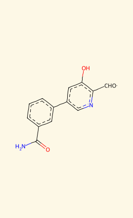 NC(=O)c1cccc(-c2cnc([C]=O)c(O)c2)c1